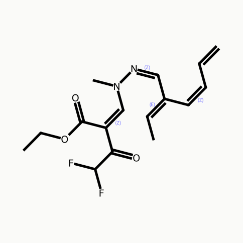 C=C\C=C/C(/C=N\N(C)/C=C(\C(=O)OCC)C(=O)C(F)F)=C\C